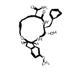 COc1ccc2c(c1)[C@H]1NC[C@@H](O)[C@H](Cc3ccccc3)NC(=O)[C@H](C(N)=O)CC/C=C\CO[C@H]1C2